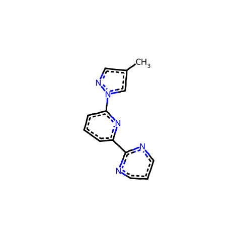 Cc1cnn(-c2cccc(-c3ncccn3)n2)c1